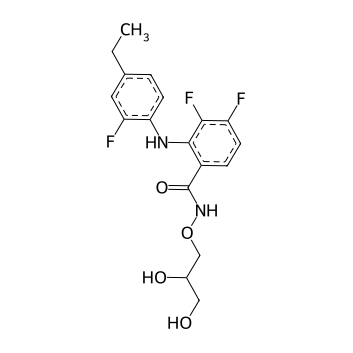 CCc1ccc(Nc2c(C(=O)NOCC(O)CO)ccc(F)c2F)c(F)c1